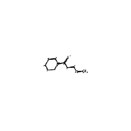 COCCC(=O)N1CC[CH]CC1